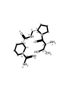 C[C@H](O)[C@@H](N)C(=O)N1CCC[C@H]1CNC(=O)[C@H]1CCCN(C(=N)N)C1